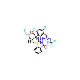 O=C(NC1=N[C@@]2(c3cc(CNCC(F)(F)F)c(F)cc3F)CO[C@@H](CF)C[C@H]2CS1)c1ccccc1